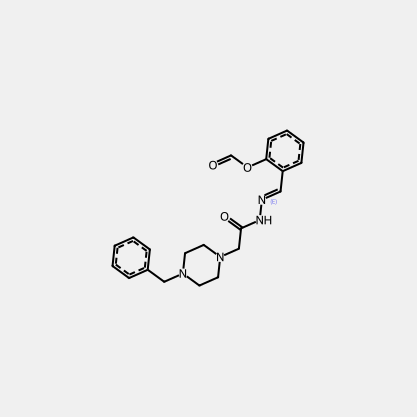 O=COc1ccccc1/C=N/NC(=O)CN1CCN(Cc2ccccc2)CC1